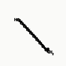 C=CC(=O)OCCCOCCCOCCCOCCCOCCCOCCCOCCCOCCCOCCCO